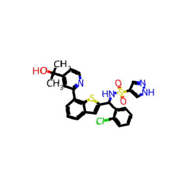 CC(C)(O)c1ccnc(-c2cccc3cc(C(NS(=O)(=O)c4cn[nH]c4)c4ccccc4Cl)sc23)c1